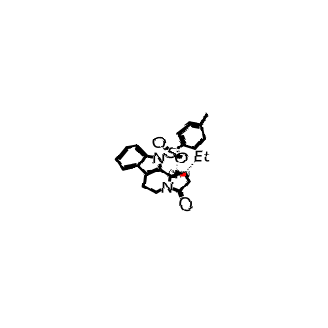 CC[C@H]1C2CC(=O)N3CCc4c(n(S(=O)(=O)c5ccc(C)cc5)c5ccccc45)C23C[C@@H]1C